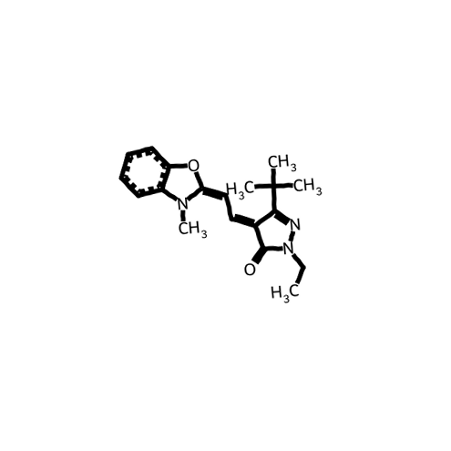 CCN1N=C(C(C)(C)C)/C(=C\C=C2\Oc3ccccc3N2C)C1=O